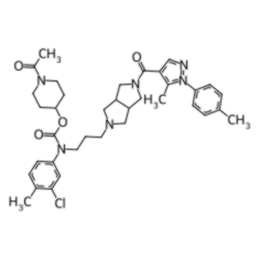 CC(=O)N1CCC(OC(=O)N(CCCN2CC3CN(C(=O)c4cnn(-c5ccc(C)cc5)c4C)CC3C2)c2ccc(C)c(Cl)c2)CC1